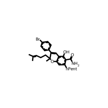 CCCCCc1cc2c(c(O)c1C(N)=O)C=C(c1ccc(Br)cc1)C(C)(CCC=C(C)C)O2